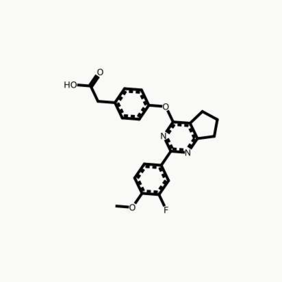 COc1ccc(-c2nc3c(c(Oc4ccc(CC(=O)O)cc4)n2)CCC3)cc1F